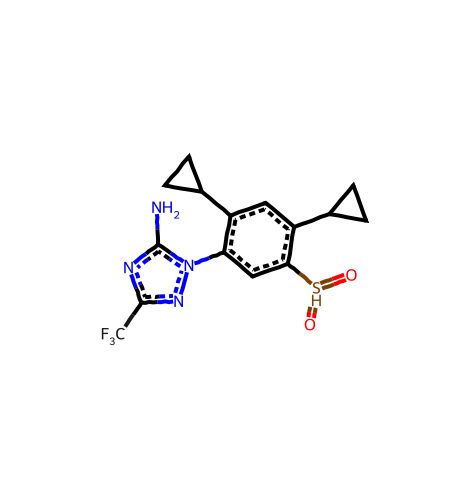 Nc1nc(C(F)(F)F)nn1-c1cc([SH](=O)=O)c(C2CC2)cc1C1CC1